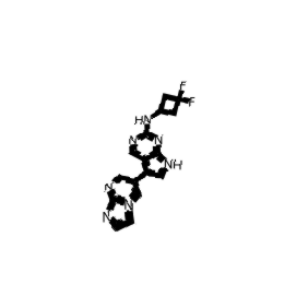 FC1(F)CC(Nc2ncc3c(-c4cnc5nccn5c4)c[nH]c3n2)C1